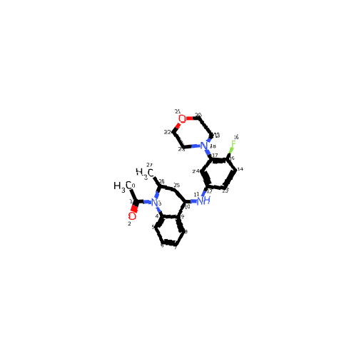 CC(=O)N1c2ccccc2C(Nc2ccc(F)c(N3CCOCC3)c2)CC1C